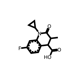 CC1C(=O)N(C2CC2)c2cc(F)ccc2C1C(=O)O